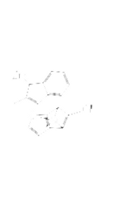 CC1=C2c3ccoc3C1[Si]2(C)C.CC1=Cc2ccccc2[CH]1[Zr+2].[Cl-].[Cl-]